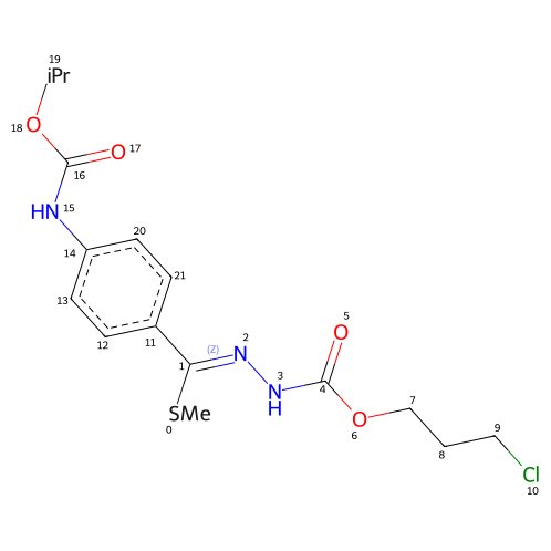 CS/C(=N\NC(=O)OCCCCl)c1ccc(NC(=O)OC(C)C)cc1